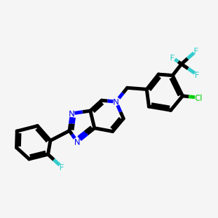 Fc1ccccc1-c1nc2ccn(Cc3ccc(Cl)c(C(F)(F)F)c3)cc-2n1